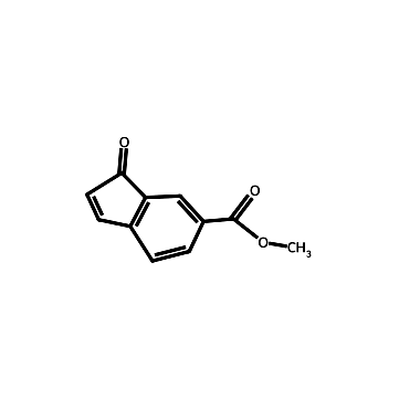 COC(=O)c1ccc2c(c1)C(=O)C=C2